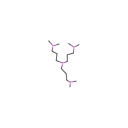 CP(C)CCCP(CCCP(C)C)CCCP(C)C